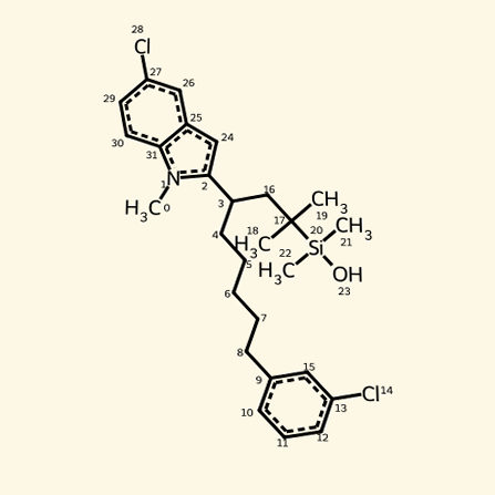 Cn1c(C(CCCCCc2cccc(Cl)c2)CC(C)(C)[Si](C)(C)O)cc2cc(Cl)ccc21